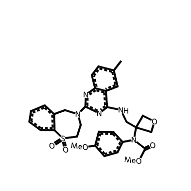 COC(=O)N(c1ccc(OC)cc1)C1(CNc2nc(N3CCS(=O)(=O)c4ccccc4C3)nc3ccc(C)cc23)COC1